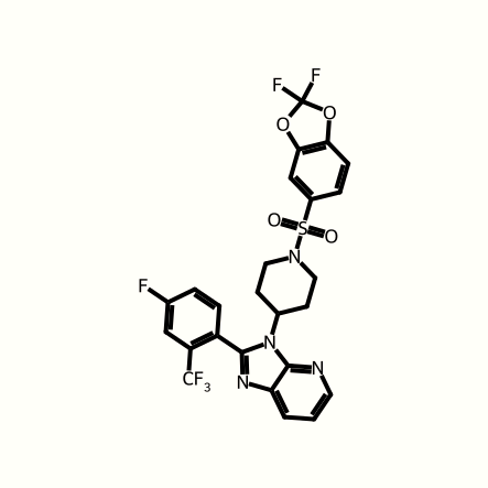 O=S(=O)(c1ccc2c(c1)OC(F)(F)O2)N1CCC(n2c(-c3ccc(F)cc3C(F)(F)F)nc3cccnc32)CC1